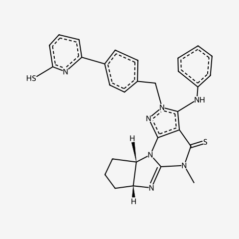 CN1C(=S)c2c(nn(Cc3ccc(-c4cccc(S)n4)cc3)c2Nc2ccccc2)N2C1=N[C@@H]1CCC[C@@H]12